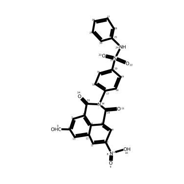 O=Cc1cc2c3c(cc([N+](=O)O)cc3c1)C(=O)N(c1ccc(S(=O)(=O)Nc3ccccc3)cc1)C2=O